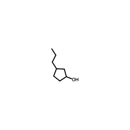 CCCC1CCC(O)C1